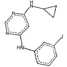 Ic1cccc(Nc2cc(NC3CC3)ncn2)c1